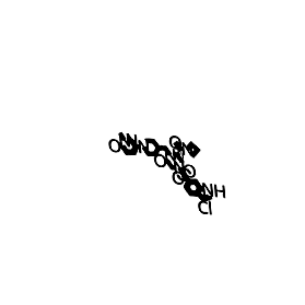 Cn1nc(N2CCC(CN3C(=O)CN(S(=O)(=O)c4ccc5c(Cl)c[nH]c5c4)C[C@@H]3C(=O)N3CCC3)CC2)ccc1=O